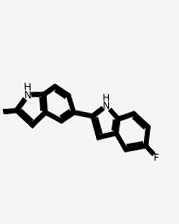 Cc1cc2cc(-c3cc4cc(F)ccc4[nH]3)ccc2[nH]1